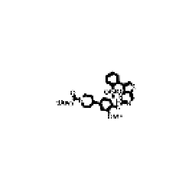 COc1cc(C2CCN(C(=O)OC(C)(C)C)CC2)ccc1Nc1ncc2scc(-c3ccccc3S(C)(=O)=O)c2n1